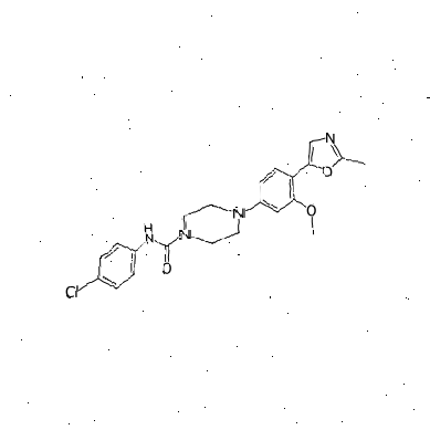 COc1cc(N2CCN(C(=O)Nc3ccc(Cl)cc3)CC2)ccc1-c1cnc(C)o1